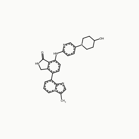 Cc1cnc2c(-c3ccc(Nc4ccc(N5CCC(O)CC5)cn4)c4c3CNC4=O)cccn12